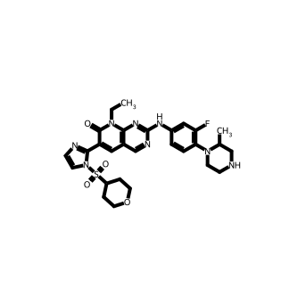 CCn1c(=O)c(-c2nccn2S(=O)(=O)C2CCOCC2)cc2cnc(Nc3ccc(N4CCNCC4C)c(F)c3)nc21